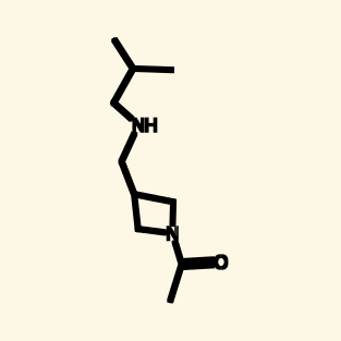 CC(=O)N1CC(CNCC(C)C)C1